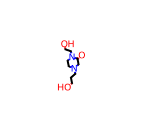 O=C1CN(CCCO)CCN1CCO